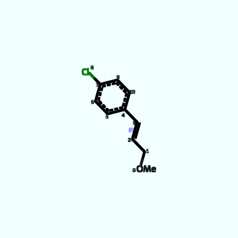 COC/C=C/c1ccc(Cl)cc1